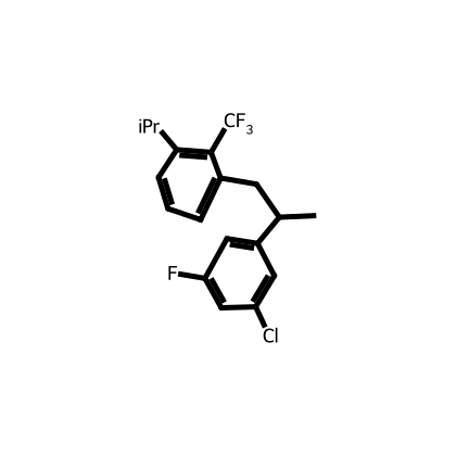 CC(C)c1cccc(CC(C)c2cc(F)cc(Cl)c2)c1C(F)(F)F